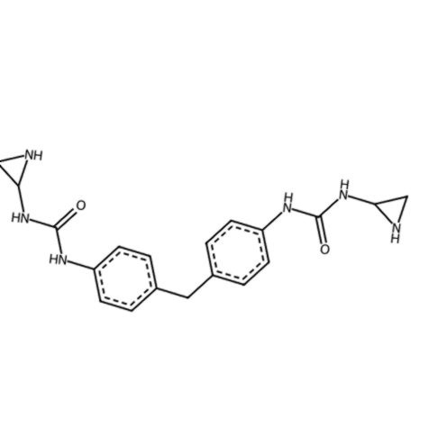 O=C(Nc1ccc(Cc2ccc(NC(=O)NC3CN3)cc2)cc1)NC1CN1